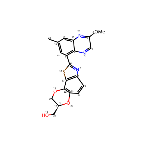 COc1cnc2c(-c3nc4ccc5c(c4s3)OC[C@H](CO)O5)cc(C)cc2n1